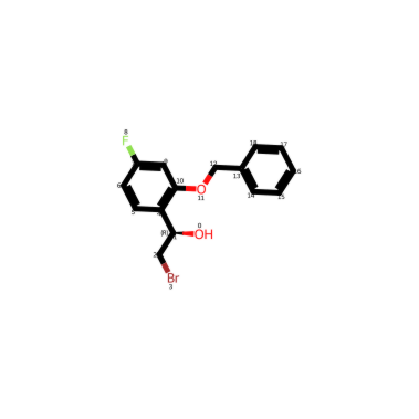 O[C@@H](CBr)c1ccc(F)cc1OCc1ccccc1